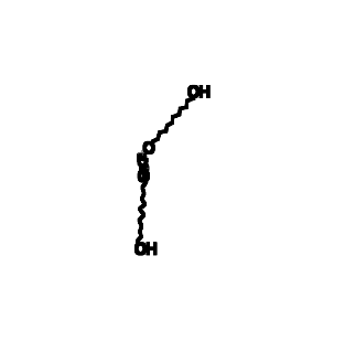 OCCCCCCCCCCCCOC[C@H]1CC[C@@H](COCCCCCCCCCCCCO)C1